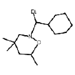 CCC(C1CCCCC1)N1CC(C)(C)CC(C)O1